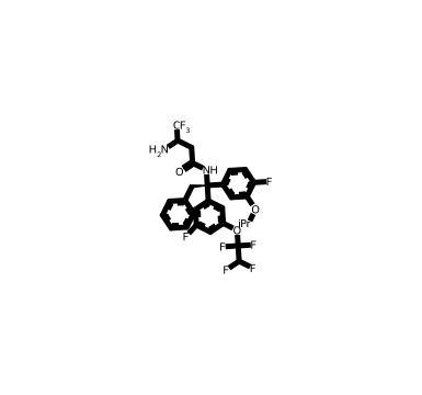 CC(C)Oc1cc([C@@](Cc2ccccc2)(NC(=O)CC(N)C(F)(F)F)c2cc(F)cc(OC(F)(F)C(F)F)c2)ccc1F